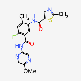 COc1cnc(NC(=O)c2cc(NC(=O)c3cnc(C)s3)c(C)cc2F)cn1